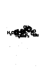 COc1cc(C)ccc1-c1oc([C@@H](O)C2(C)CCCN(C(=O)OC(C)(C)C)C2)cc1C